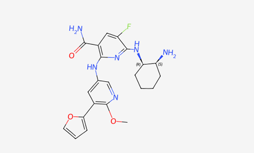 COc1ncc(Nc2nc(N[C@@H]3CCCC[C@@H]3N)c(F)cc2C(N)=O)cc1-c1ccco1